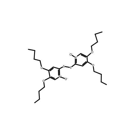 CCCCOc1cc(SSc2cc(OCCCC)c(OCCCC)c[n+]2[O-])[n+]([O-])cc1OCCCC